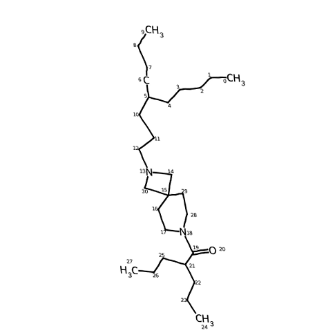 CCCCCC(CCCC)CCCN1CC2(CCN(C(=O)C(CCC)CCC)CC2)C1